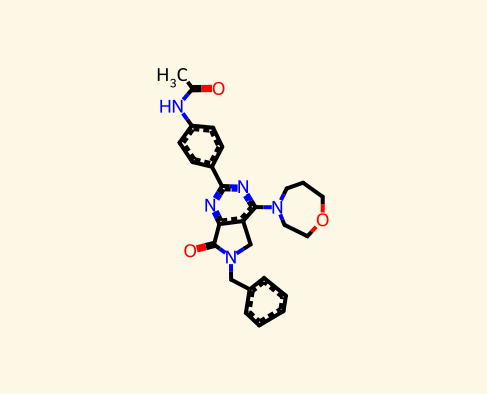 CC(=O)Nc1ccc(-c2nc3c(c(N4CCCOCC4)n2)CN(Cc2ccccc2)C3=O)cc1